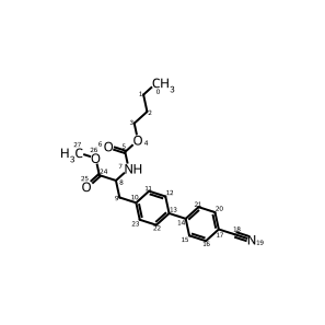 CCCCOC(=O)NC(Cc1ccc(-c2ccc(C#N)cc2)cc1)C(=O)OC